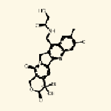 CC[C@@]1(O)C(=O)OCc2c1cc1n(c2=O)Cc2c-1nc1cc(Cl)c(C)cc1c2CNC(=O)CO